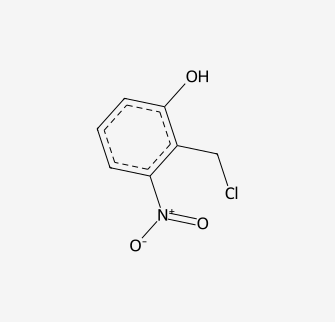 O=[N+]([O-])c1cccc(O)c1CCl